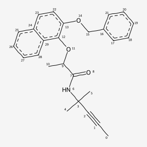 CC#CC(C)(C)NC(=O)C(C)Oc1c(OCc2ccccc2)ccc2ccccc12